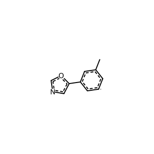 Cc1c[c]cc(-c2cnco2)c1